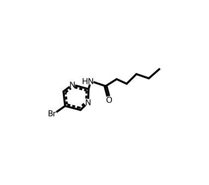 CCCCCC(=O)Nc1ncc(Br)cn1